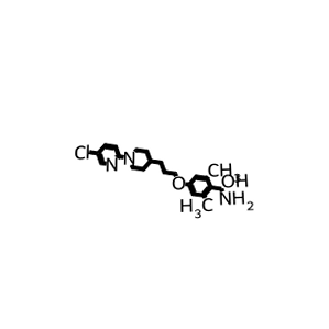 Cc1cc(OCCCC2CCN(c3ccc(Cl)cn3)CC2)cc(C)c1C(N)O